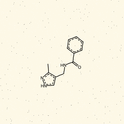 Cc1n[nH]cc1CNC(=O)c1ccccc1